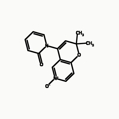 CC1(C)C=C(n2ccccc2=O)c2c[n+]([O-])ccc2O1